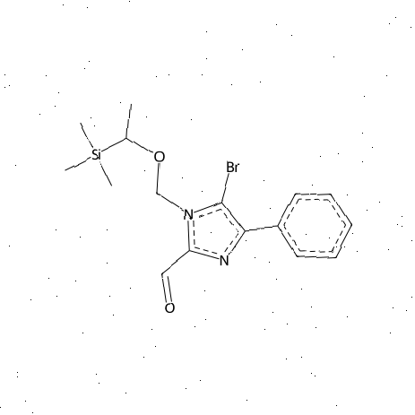 CC(OCn1c(C=O)nc(-c2ccccc2)c1Br)[Si](C)(C)C